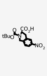 CC(C)(C)OC(=O)N1Cc2ccc([N+](=O)[O-])cc2C[C@H]1C(=O)O